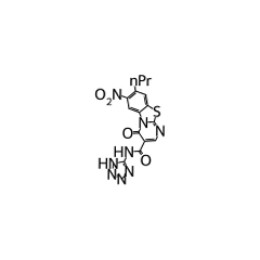 CCCc1cc2sc3ncc(C(=O)Nc4nnn[nH]4)c(=O)n3c2cc1[N+](=O)[O-]